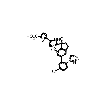 O=C(O)c1ccc(-c2cnc(C3(O)CCc4cc(-c5cc(Cl)ccc5-n5cnnn5)c[n+]([O-])c43)[nH]2)s1